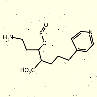 NCCC(OP=O)C(CCCc1ccncc1)C(=O)O